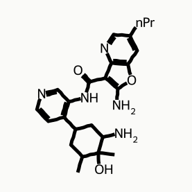 CCCc1cnc2c(C(=O)Nc3cnccc3C3CC(C)C(C)(O)C(N)C3)c(N)oc2c1